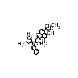 C=C/C=C(/O)C(=C)c1ccc2c3c(cccc13)C(=C)/C(=C\C(=C)N(/C(C=C)=C/C=C)c1ccc3ccccc3c1)O2